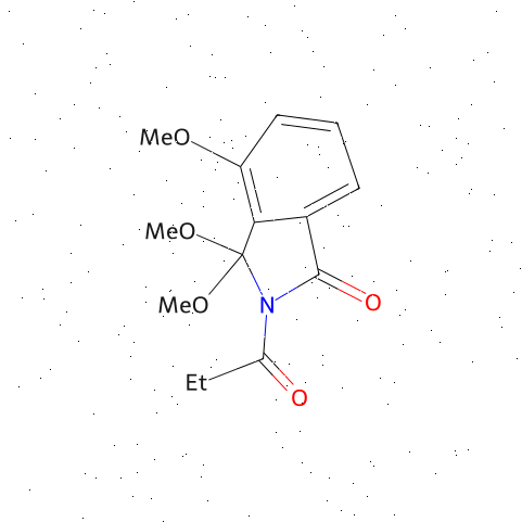 CCC(=O)N1C(=O)c2cccc(OC)c2C1(OC)OC